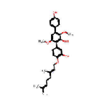 COc1cc(-c2ccc(O)cc2)c(OC)c(O)c1-c1ccc(OC/C=C(\C)CCC=C(C)C)c(O)c1